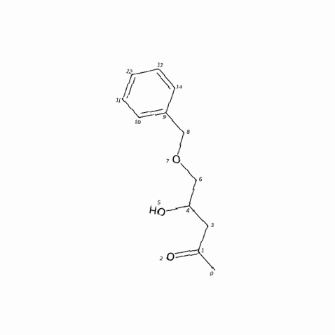 CC(=O)CC(O)COCc1ccccc1